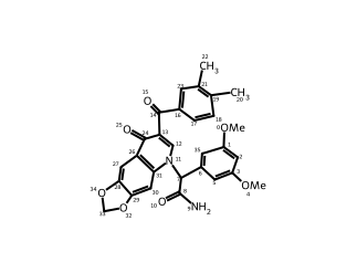 COc1cc(OC)cc(C(C(N)=O)n2cc(C(=O)c3ccc(C)c(C)c3)c(=O)c3cc4c(cc32)OCO4)c1